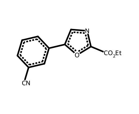 CCOC(=O)c1ncc(-c2cccc(C#N)c2)o1